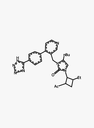 CCCCc1cn(C2C(CC)CC2C(C)=O)c(=O)n1Cc1cnccc1-c1ccc(-c2nnn[nH]2)cc1